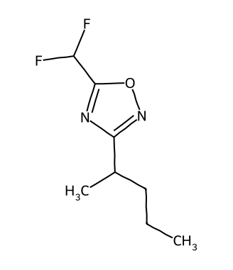 CCCC(C)c1noc(C(F)F)n1